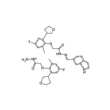 Cc1cc(F)cc(C2CCOC2)c1OCC(=O)N/N=C/c1ccc2cc[nH]c2c1.Cc1cc(F)cc(C2CCOC2)c1OCC(=O)NN